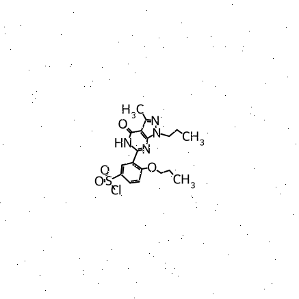 CCCOc1ccc(S(=O)(=O)Cl)cc1-c1nc2c(c(C)nn2CCC)c(=O)[nH]1